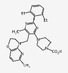 CCc1cccc(CC)c1-c1nc(C)c(CN2CCOc3ccc(C)nc32)c(N2CCN(C(=O)O)CC2)n1